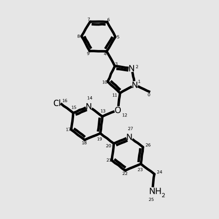 Cn1nc(-c2ccccc2)cc1Oc1nc(Cl)ccc1-c1ccc(CN)cn1